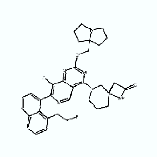 O=C1CC2(CCCN(c3nc(OCC45CCCN4CCC5)nc4c(F)c(-c5cccc6cccc(CCF)c56)ncc34)C2)N1